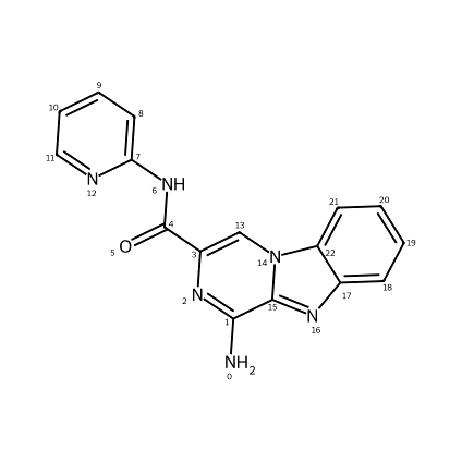 Nc1nc(C(=O)Nc2ccccn2)cn2c1nc1ccccc12